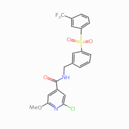 COc1cc(C(=O)NCc2cccc(S(=O)(=O)c3cccc(C(F)(F)F)c3)c2)cc(Cl)n1